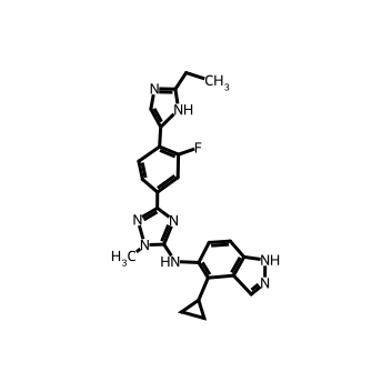 CCc1ncc(-c2ccc(-c3nc(Nc4ccc5[nH]ncc5c4C4CC4)n(C)n3)cc2F)[nH]1